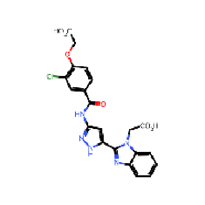 O=C(O)COc1ccc(C(=O)Nc2cc(-c3nc4ccccc4n3CC(=O)O)[nH]n2)cc1Cl